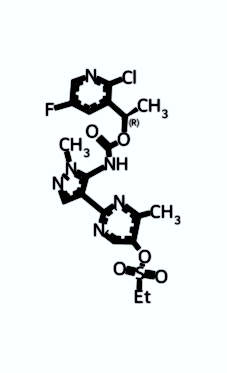 CCS(=O)(=O)Oc1cnc(-c2cnn(C)c2NC(=O)O[C@H](C)c2cc(F)cnc2Cl)nc1C